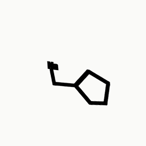 [Na][CH2]C1CCCC1